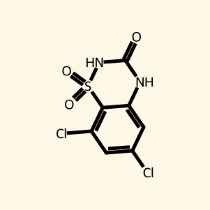 O=C1Nc2cc(Cl)cc(Cl)c2S(=O)(=O)N1